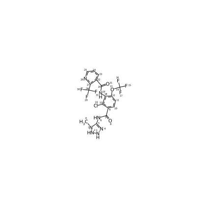 CN1NNN=C1NC(=O)c1ccc(OC(F)(F)F)c(NC(=O)c2cccnc2C(F)(F)F)c1Cl